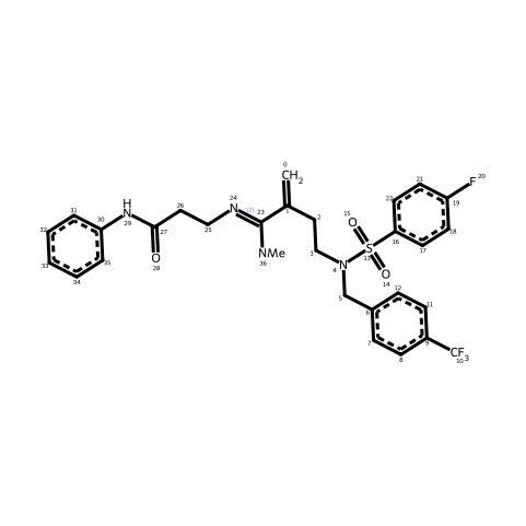 C=C(CCN(Cc1ccc(C(F)(F)F)cc1)S(=O)(=O)c1ccc(F)cc1)/C(=N/CCC(=O)Nc1ccccc1)NC